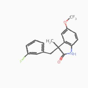 CC1(Cc2cccc(F)c2)C(=O)Nc2ccc(OC(F)(F)F)cc21